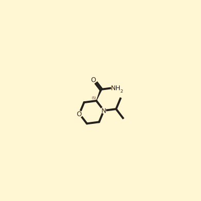 CC(C)N1CCOC[C@H]1C(N)=O